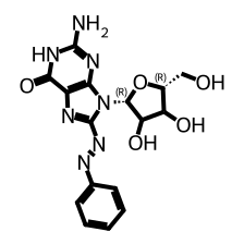 Nc1nc2c(nc(N=Nc3ccccc3)n2[C@@H]2O[C@H](CO)C(O)C2O)c(=O)[nH]1